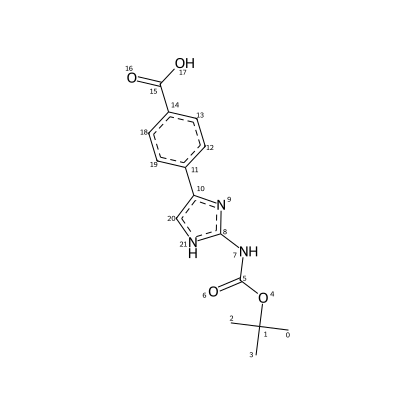 CC(C)(C)OC(=O)Nc1nc(-c2ccc(C(=O)O)cc2)c[nH]1